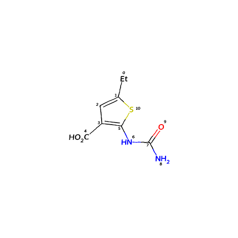 CCc1cc(C(=O)O)c(NC(N)=O)s1